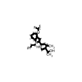 C=C(O)C1=CNC(c2cc3c(OC(F)F)cccc3n2CCC(C)C)=CC1=C